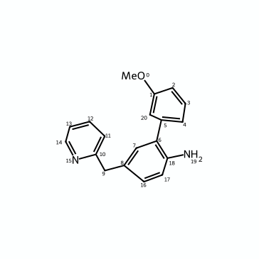 COc1cccc(-c2cc(Cc3ccccn3)ccc2N)c1